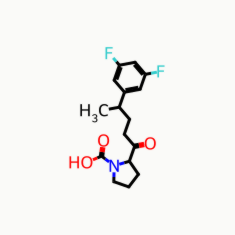 CC(CCC(=O)C1CCCN1C(=O)O)c1cc(F)cc(F)c1